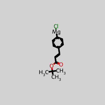 CC(C)(C)OC(=O)/C=C/c1cc[c]([Mg][Cl])cc1